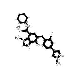 Cc1c(Cc2ccc(-c3cnn(C)c3)cc2F)cc(C(=O)N[C@@H]2CCCC[C@H]2O)c2c1ncn2C